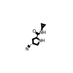 N#C[C@H]1CN[C@H](C(=O)NC2CC2)C1